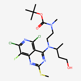 CSc1nc(N(CCN(C)C(=O)OC(C)(C)C)C(C)CCO)c2c(Cl)nc(Cl)c(F)c2n1